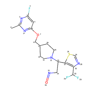 Cc1nc(F)cc(OCC2CCN(C(CN=O)c3scnc3C(F)F)CC2)n1